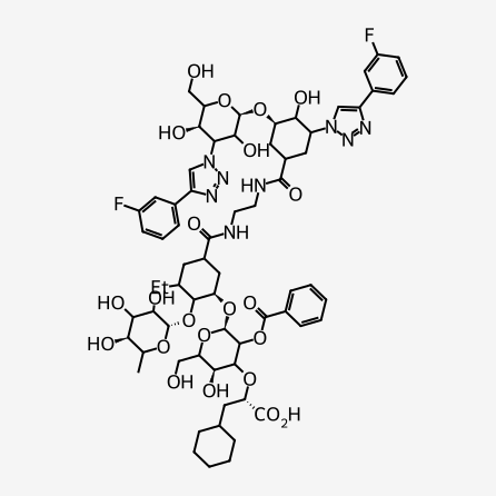 CCC1CC(C(=O)NCCNC(=O)C2CC(n3cc(-c4cccc(F)c4)nn3)C(O)[C@H](O[C@@H]3OC(CO)[C@H](O)C(n4cc(-c5cccc(F)c5)nn4)C3O)C2)C[C@@H](O[C@@H]2OC(CO)[C@H](O)C(O[C@@H](CC3CCCCC3)C(=O)O)C2OC(=O)c2ccccc2)C1O[C@@H]1OC(C)[C@@H](O)C(O)C1O